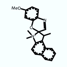 COc1ccc2c(c1)OC1(C=N2)C(C)c2c(ccc3ccccc23)[N+]1(C)C